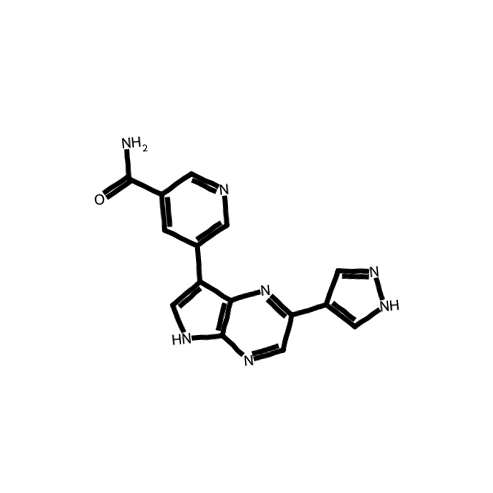 NC(=O)c1cncc(-c2c[nH]c3ncc(-c4cn[nH]c4)nc23)c1